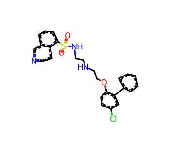 O=S(=O)(NCCNCCOc1ccc(Cl)cc1-c1ccccc1)c1cccc2cnccc12